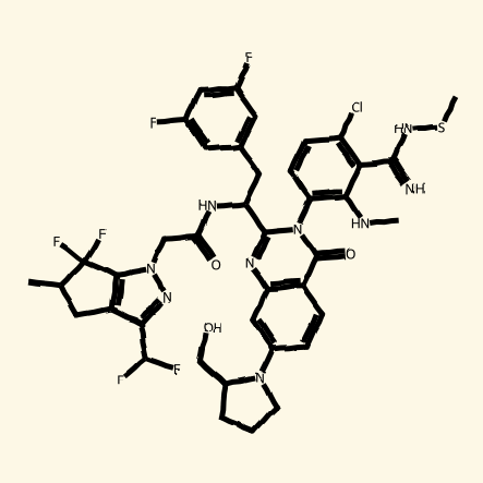 CNc1c(-n2c(C(Cc3cc(F)cc(F)c3)NC(=O)Cn3nc(C(F)F)c4c3C(F)(F)C(C)C4)nc3cc(N4CCCC4CO)ccc3c2=O)ccc(Cl)c1C(=N)NSC